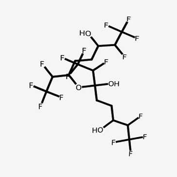 OC(CCC(OC(O)(CCC(O)C(F)C(F)(F)F)C(F)C(F)(F)F)C(F)C(F)(F)F)C(F)C(F)(F)F